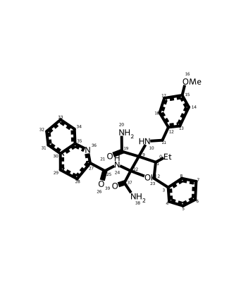 CCC(Cc1ccccc1)C(NCc1ccc(OC)cc1)(C(N)=O)C(O)(NC(=O)c1ccc2ccccc2n1)C(N)=O